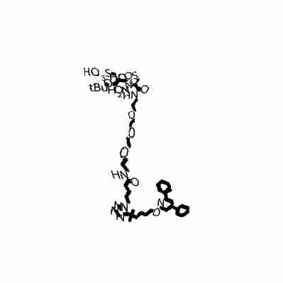 CC(C)(C)OC(=O)[C@H](CS(=O)(=O)O)C(=O)N(N)[C@@H](CS(=O)(=O)O)C(=O)NCCCOCCOCCOCCCNC(=O)CCCCn1nnnc1C(C)(C)CCCCOc1cc(-c2ccccc2)cc(-c2ccccc2)n1